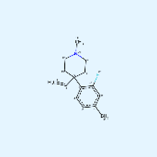 Bc1ccc(C2(C=C)CCN(C)CC2)c(F)c1